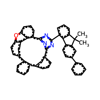 CC1(C)c2cc(-c3ccccc3)ccc2-c2c(-c3nc4nc(n3)c3cccc5oc6ccc(cc6c53)c3ccccc3c3cccc4c3)cccc21